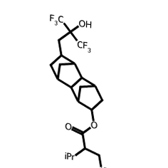 CC(C)C(CC(C)(C)C)C(=O)OC1CC2CC1C1C3CC(CC(O)(C(F)(F)F)C(F)(F)F)C(C3)C21